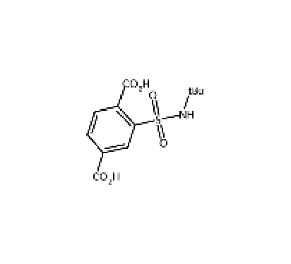 CC(C)(C)NS(=O)(=O)c1cc(C(=O)O)ccc1C(=O)O